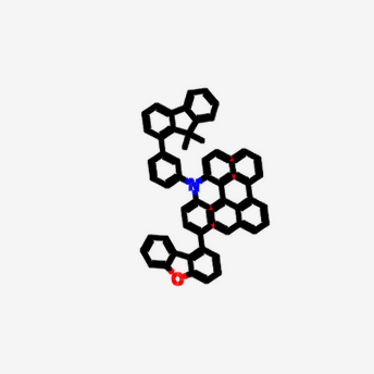 CC1(C)c2ccccc2-c2cccc(-c3cccc(N(c4ccc(-c5cccc6oc7ccccc7c56)cc4)c4ccccc4-c4cccc5cccc(-c6ccccc6)c45)c3)c21